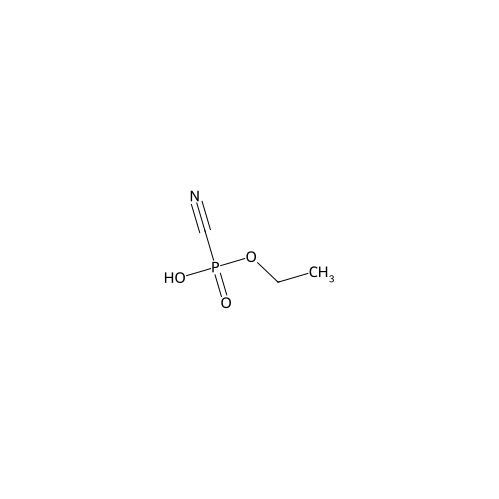 CCOP(=O)(O)C#N